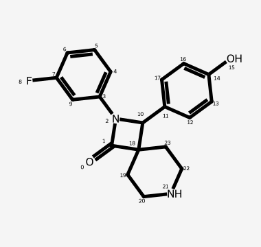 O=C1N(c2cccc(F)c2)C(c2ccc(O)cc2)C12CCNCC2